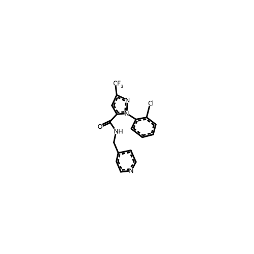 O=C(NCc1ccncc1)c1cc(C(F)(F)F)nn1-c1ccccc1Cl